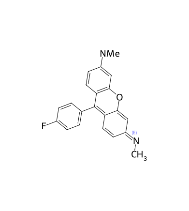 C/N=c1\ccc2c(-c3ccc(F)cc3)c3ccc(NC)cc3oc-2c1